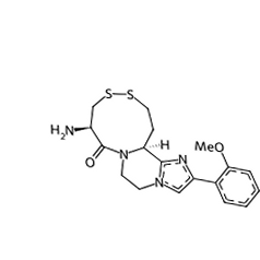 COc1ccccc1-c1cn2c(n1)[C@@H]1CCSSC[C@H](N)C(=O)N1CC2